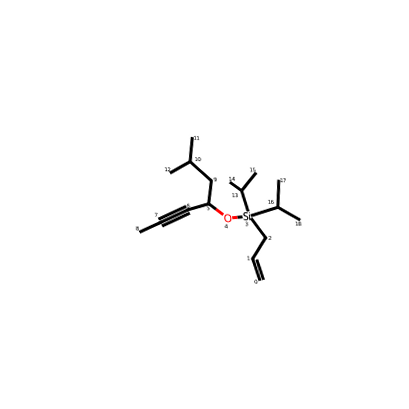 C=CC[Si](OC(C#CC)CC(C)C)(C(C)C)C(C)C